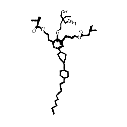 C=C(C)CC(=O)OCCCc1cc(C2CCC(C3CCC(CCCCCCCCC)CC3)CC2)cc(CCCOC(=O)C(=C)C)c1OCCC(CC)(CO)CO